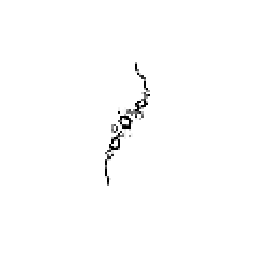 CCCCC[Si](C)(C)c1ccc(C(=O)Nc2ccc(NC(=O)c3ccc([Si](C)(C)CCCCC)cc3)cc2)cc1